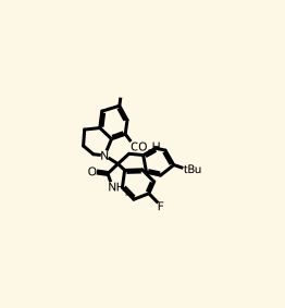 Cc1cc2c(c(C(=O)O)c1)N(C(Cc1ccc(C(C)(C)C)cc1)(C(N)=O)c1ccc(F)cc1)CCC2